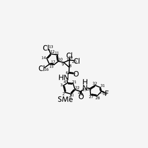 CSc1ccc(NC(=O)C2C(c3cc(Cl)cc(Cl)c3)C2(Cl)Cl)cc1C(=O)Nc1ccc(F)cc1